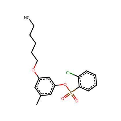 Cc1cc(OCCCCCC#N)cc(OS(=O)(=O)c2ccccc2Cl)c1